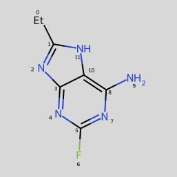 CCc1nc2nc(F)nc(N)c2[nH]1